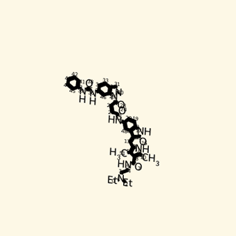 CCN(CC)CCNC(=O)c1c(C)[nH]c(/C=C2\C(=O)Nc3ccc(NC(=O)/C=C\C(=O)n4ncc5ccc(NC(=O)Nc6ccccc6)cc54)cc32)c1C